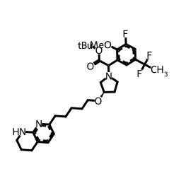 COc1c(F)cc(C(C)(F)F)cc1C(C(=O)OC(C)(C)C)N1CC[C@@H](OCCCCCc2ccc3c(n2)NCCC3)C1